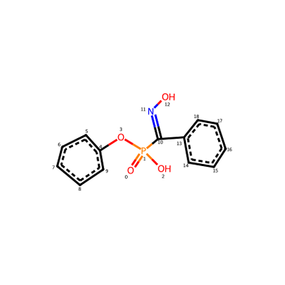 O=P(O)(Oc1ccccc1)C(=NO)c1ccccc1